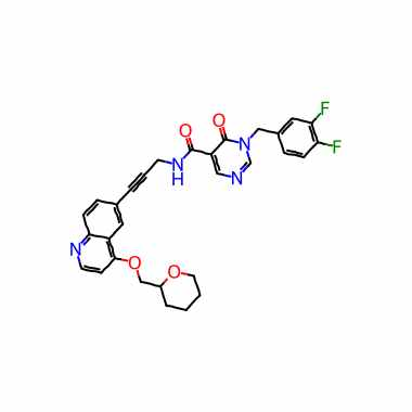 O=C(NCC#Cc1ccc2nccc(OCC3CCCCO3)c2c1)c1cncn(Cc2ccc(F)c(F)c2)c1=O